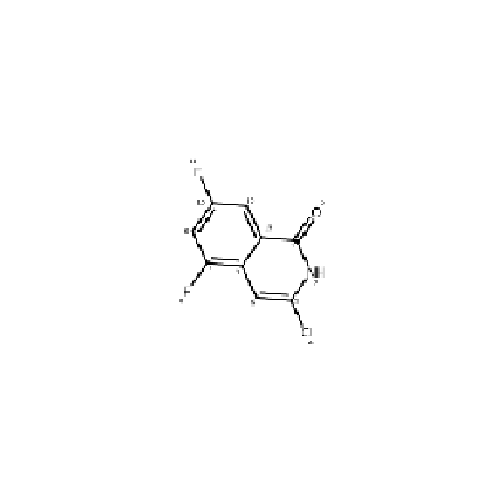 O=c1[nH]c(Cl)cc2c(F)cc(F)cc12